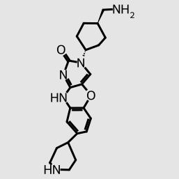 NC[C@H]1CC[C@H](n2cc3c(nc2=O)Nc2cc(C4CCNCC4)ccc2O3)CC1